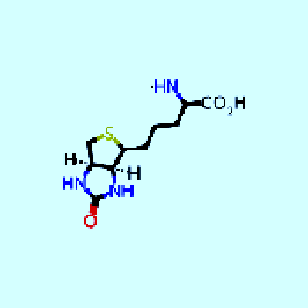 [NH]C(CCC[C@@H]1SC[C@@H]2NC(=O)N[C@@H]21)C(=O)O